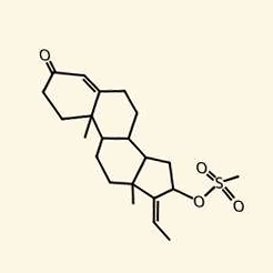 CC=C1C(OS(C)(=O)=O)CC2C3CCC4=CC(=O)CCC4(C)C3CCC12C